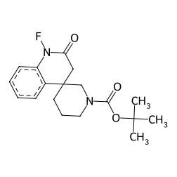 CC(C)(C)OC(=O)N1CCCC2(CC(=O)N(F)c3ccccc32)C1